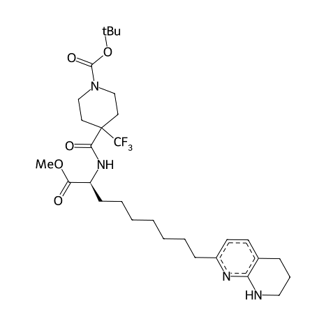 COC(=O)[C@H](CCCCCCCc1ccc2c(n1)NCCC2)NC(=O)C1(C(F)(F)F)CCN(C(=O)OC(C)(C)C)CC1